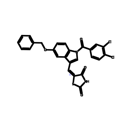 O=C1NC(=O)/C(=C\c2cn(C(=O)c3ccc(Cl)c(Cl)c3)c3ccc(OCc4ccccc4)cc23)S1